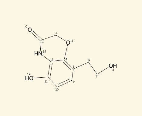 O=C1COc2c(CCO)ccc(O)c2N1